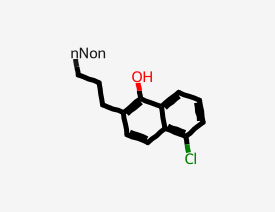 CCCCCCCCCCCCc1ccc2c(Cl)cccc2c1O